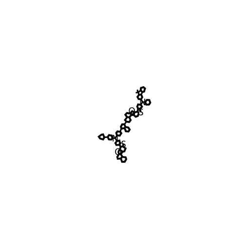 CC1(C)c2ccccc2-c2cc(N(c3ccccc3)c3ccc4c(c3)sc3ccc5c(oc6ccc7cc(-c8ccc(-c9ccc(N(c%10ccc(-c%11ccccc%11)cc%10)c%10ccc%11c(c%10)sc%10ccc%12c(oc%13ccc%14ccccc%14c%13%12)c%10%11)cc9)c9ccccc89)ccc7c65)c34)ccc21